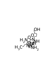 CCCC(=N)/C(N)=C(\NC(N)=S)C(=O)N(NC)C1CCC(CO)O1